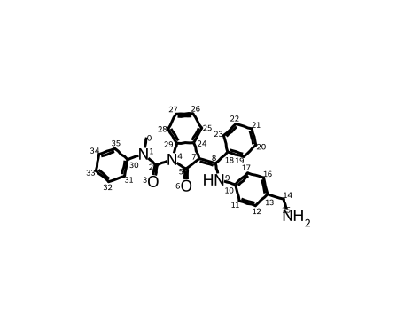 CN(C(=O)N1C(=O)/C(=C(\Nc2ccc(CN)cc2)c2ccccc2)c2ccccc21)c1ccccc1